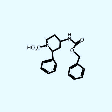 O=C(NC1CCN(C(=O)O)C(c2ccccc2)C1)OCc1ccccc1